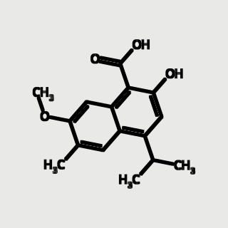 COc1cc2c(C(=O)O)c(O)cc(C(C)C)c2cc1C